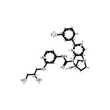 O=C(Nc1ccnc(OC[C@@H](O)CO)c1)N1c2nc(-c3cccc(C(F)(F)F)c3)ncc2N2CC[C@H]1C2